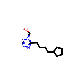 [O]Cn1nnnc1CCCCC1CCCC1